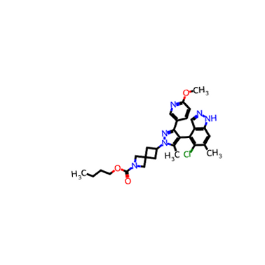 CCCCOC(=O)N1CC2(CC(n3nc(-c4ccc(OC)nc4)c(-c4c(Cl)c(C)cc5[nH]ncc45)c3C)C2)C1